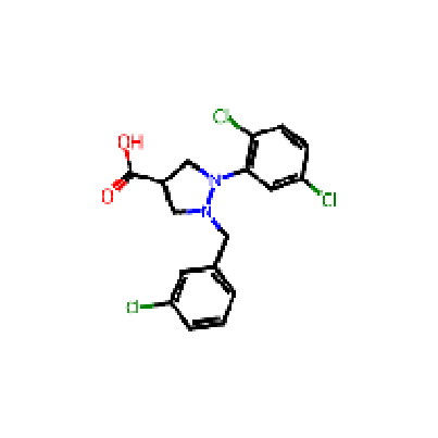 O=C(O)C1CN(Cc2cccc(Cl)c2)N(c2cc(Cl)ccc2Cl)C1